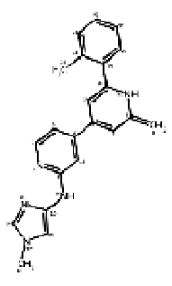 C=C1C=C(c2ccnc(Nc3cn(C)cn3)c2)C=C(c2ccccc2C(F)(F)F)N1